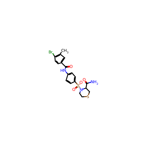 Cc1cc(C(=O)Nc2ccc(S(=O)(=O)N3CCSCC3C(N)=O)cc2)ccc1Br